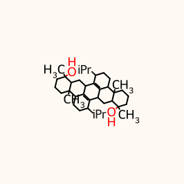 CC(C)C1CCC2C3=C1C1CC4C(C)(O)CCCC4(C)C4CCC(C(C)C)C(=C14)C3CC1C(C)(O)CCCC21C